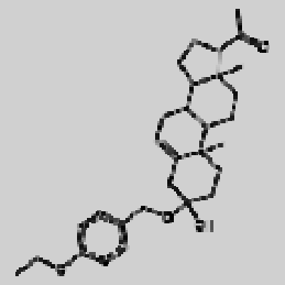 CCOc1ccc(COC2(O)CCC3(C)C(=CCC4C3CCC3(C)C(C(C)=O)CCC43)C2)cc1